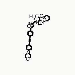 CC(OC1CCCCO1)c1nccn1Cc1cc(-c2ccc(C#Cc3ccc(N4CCOCC4)cc3)cc2)on1